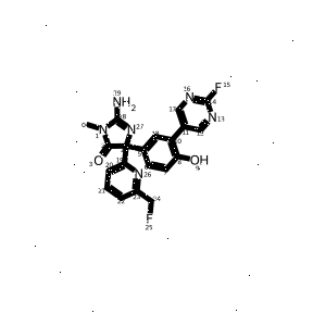 CN1C(=O)C(c2ccc(O)c(-c3cnc(F)nc3)c2)(c2cccc(CF)n2)N=C1N